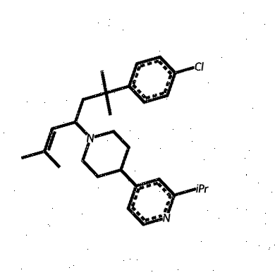 CC(C)=CC(CC(C)(C)c1ccc(Cl)cc1)N1CCC(c2ccnc(C(C)C)c2)CC1